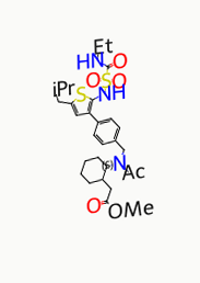 CCNC(=O)S(=O)(=O)Nc1sc(CC(C)C)cc1-c1ccc(CN(C(C)=O)[C@H]2CCCCC2CC(=O)OC)cc1